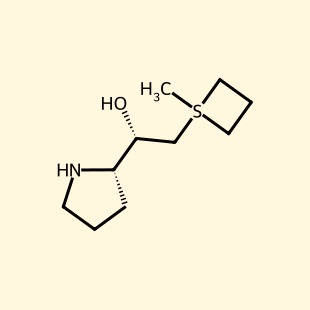 CS1(C[C@@H](O)[C@@H]2CCCN2)CCC1